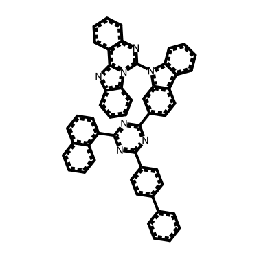 c1ccc(-c2ccc(-c3nc(-c4ccc5c6ccccc6n(-c6nc7ccccc7c7nc8ccccc8n67)c5c4)nc(-c4cccc5ccccc45)n3)cc2)cc1